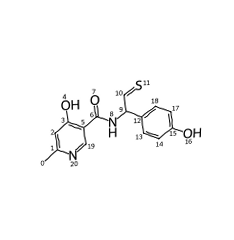 Cc1cc(O)c(C(=O)NC(C=S)c2ccc(O)cc2)cn1